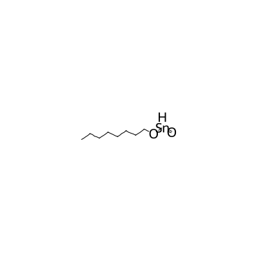 CCCCCCCC[O][SnH]=[O]